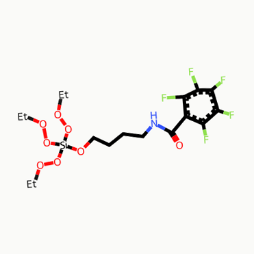 CCOO[Si](OCCCCNC(=O)c1c(F)c(F)c(F)c(F)c1F)(OOCC)OOCC